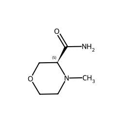 CN1CCOC[C@H]1C(N)=O